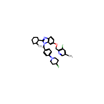 Cc1cnc(COc2ccc3nc(C4CCCCC4C(=O)O)n(Cc4ccc(N5CCC(F)CC5)cc4)c3c2)c(F)c1